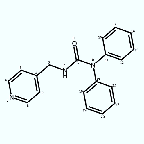 O=C(NCc1ccncc1)N(c1ccccc1)c1ccccc1